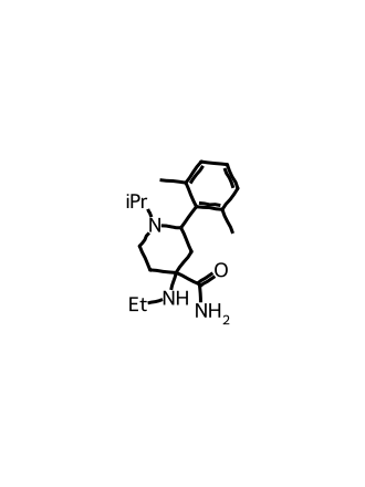 CCNC1(C(N)=O)CCN(C(C)C)C(c2c(C)cccc2C)C1